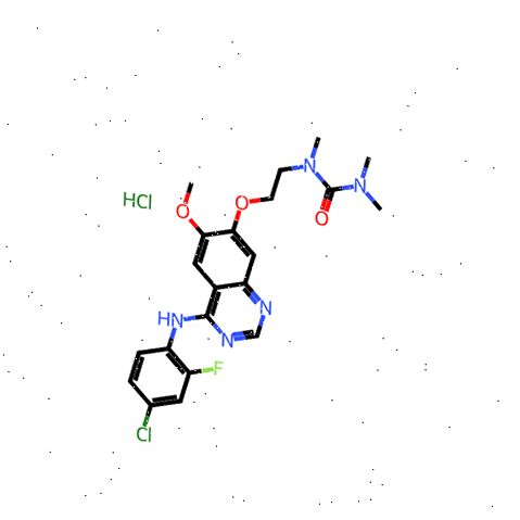 COc1cc2c(Nc3ccc(Cl)cc3F)ncnc2cc1OCCN(C)C(=O)N(C)C.Cl